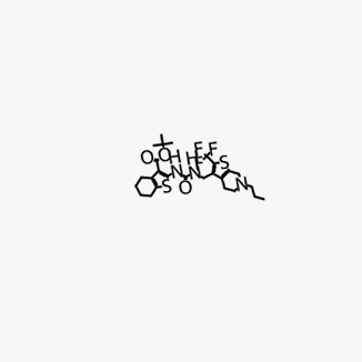 CCCN1CCc2c(sc(C(F)(F)F)c2CNC(=O)Nc2sc3c(c2C(=O)OC(C)(C)C)CCCC3)C1